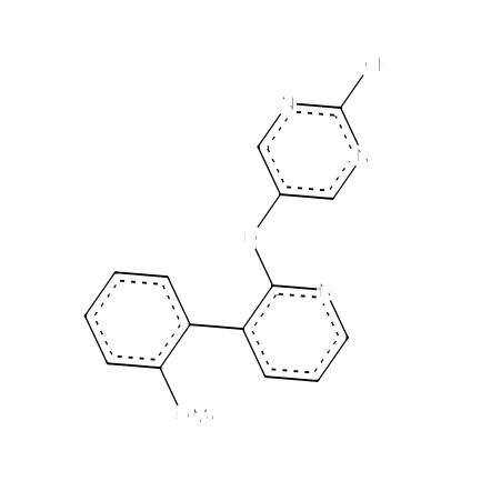 COc1ccccc1-c1cccnc1Oc1cnc(C(F)(F)F)nc1